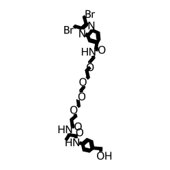 CC(NC(=O)CCOCCOCCOCCOCCNC(=O)c1ccc2nc(CBr)c(CBr)nc2c1)C(=O)Nc1ccc(CO)cc1